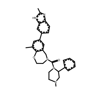 Cc1nc2ccc(-c3cc(C)c4c(c3)CN(C(=O)N3CCN(C)CC3c3ccccc3)CCO4)cc2[nH]1